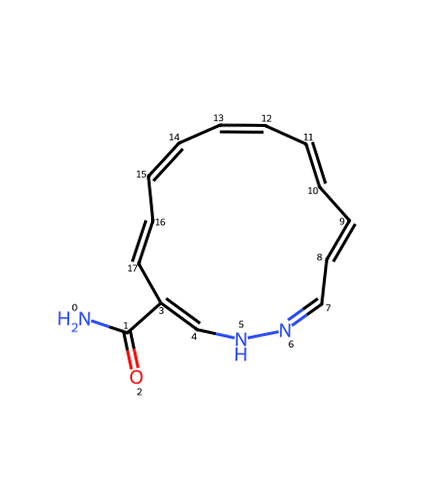 NC(=O)C1=C\N\N=C/C=C/C=C/C=C\C=C/C=C/1